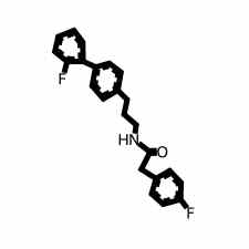 O=C(Cc1ccc(F)cc1)NCCCc1ccc(-c2ccccc2F)cc1